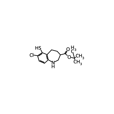 CC(C)(C)OC(=O)C1CCc2c(ccc(Cl)c2S)NC1